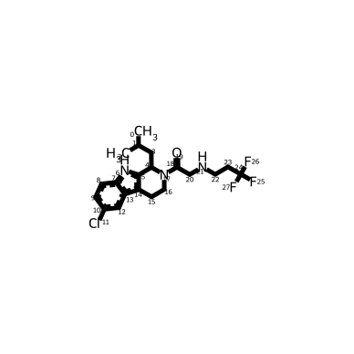 CC(C)CC1c2[nH]c3ccc(Cl)cc3c2CCN1C(=O)CNCCC(F)(F)F